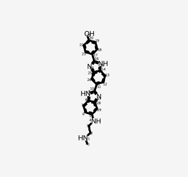 CNCCNc1ccc2[nH]c(-c3ccc4[nH]c(-c5ccc(O)cc5)nc4c3)nc2c1